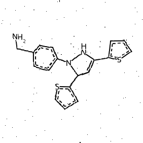 NCc1ccc(N2NC(c3cccs3)=CC2c2cccs2)cc1